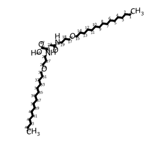 CCCCCCCCCCCCCCCCOCCCNC(=O)C[C@H](NCCCOCCCCCCCCCCCCCCCC)C(=O)O